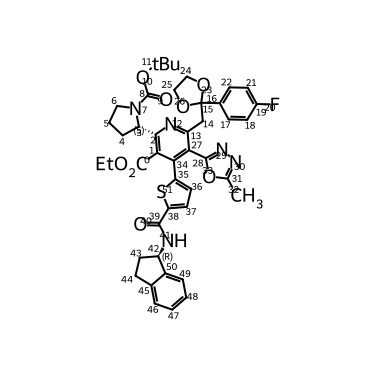 CCOC(=O)c1c([C@@H]2CCCN2C(=O)OC(C)(C)C)nc(CC2(c3ccc(F)cc3)OCCO2)c(-c2nnc(C)o2)c1-c1ccc(C(=O)N[C@@H]2CCc3ccccc32)s1